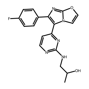 CC(O)CNc1nccc(-c2c(-c3ccc(F)cc3)nc3occn23)n1